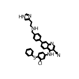 N#Cc1cnc2cc(-c3ccc(CNCCc4c[nH]cn4)cc3)ccc2c1Nc1ccc(Sc2ccccc2)c(Cl)c1